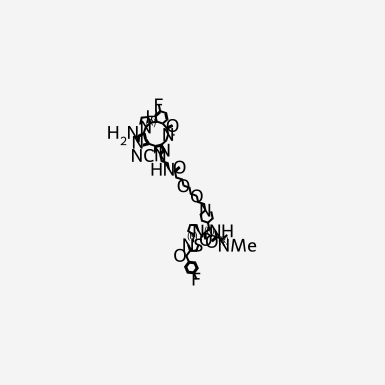 CN[C@H](C)C(=O)N[C@@H](C(=O)N1CCC[C@@H]1C1=NC(C(=O)c2ccc(F)cc2)CS1)C1CCN(CCOCCOCCC(=O)NCCn2nc3c(c2C#N)-c2cnc(N)c(c2)N2CCC[C@@H]2C2C=C(F)C=CC2C(=O)N(C)C3)CC1